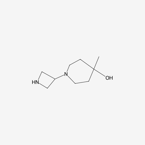 CC1(O)CCN(C2CNC2)CC1